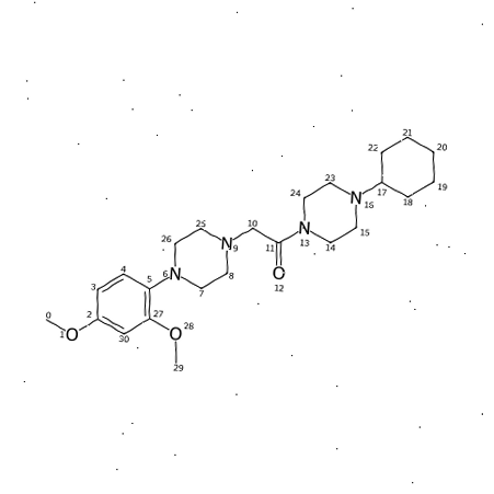 COc1ccc(N2CCN(CC(=O)N3CCN(C4CCCCC4)CC3)CC2)c(OC)c1